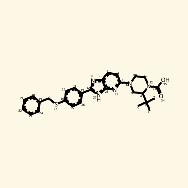 CC(C)(C)C1CN(c2ccc3nc(-c4ccc(SCc5ccccc5)cc4)[nH]c3n2)CCN1C(=O)O